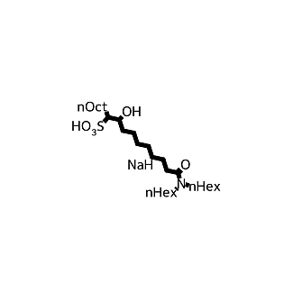 CCCCCCCCC(C(O)CCCCCCCC(=O)N(CCCCCC)CCCCCC)S(=O)(=O)O.[NaH]